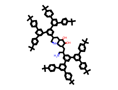 CC(C)(C)c1ccc(-c2cc(-c3ccc(C(C)(C)C)cc3)cc(-c3cc(-c4cc(-c5ccc(C(C)(C)C)cc5)cc(-c5ccc(C(C)(C)C)cc5)c4)cc(C(CN)CC4CCC(CC(CN)c5cc(-c6cc(-c7ccc(C(C)(C)C)cc7)cc(-c7ccc(C(C)(C)C)cc7)c6)cc(-c6cc(-c7ccc(C(C)(C)C)cc7)cc(-c7ccc(C(C)(C)C)cc7)c6)c5)C(O)C4O)c3)c2)cc1